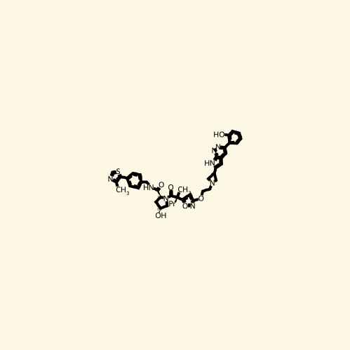 Cc1ncsc1-c1ccc(CNC(=O)[C@@H]2C[C@@H](O)CN2C(=O)[C@](C)(c2cc(OCCN3CC(c4cc5cc(-c6ccccc6O)nnc5[nH]4)C3)no2)C(C)C)cc1